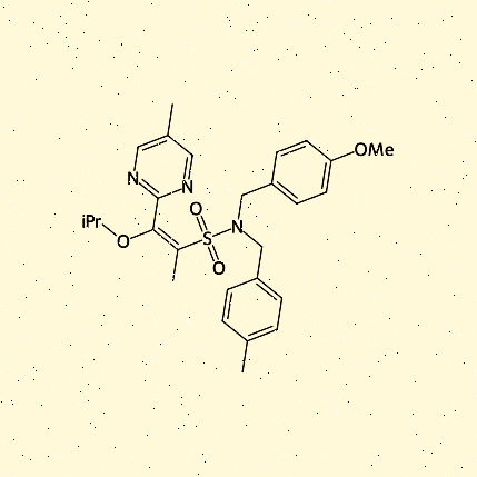 COc1ccc(CN(Cc2ccc(C)cc2)S(=O)(=O)/C(C)=C(/OC(C)C)c2ncc(C)cn2)cc1